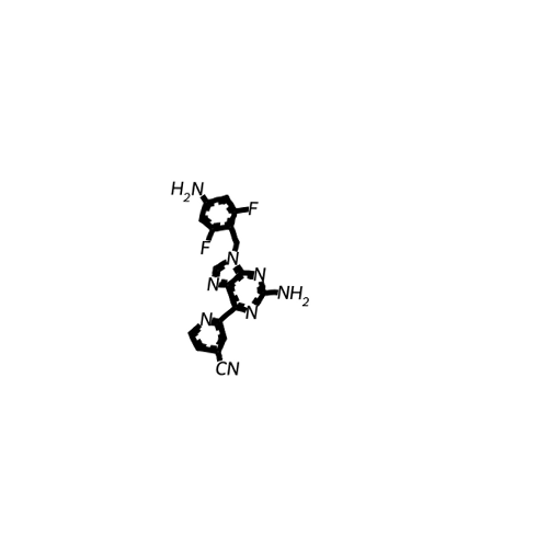 N#Cc1ccnc(-c2nc(N)nc3c2ncn3Cc2c(F)cc(N)cc2F)c1